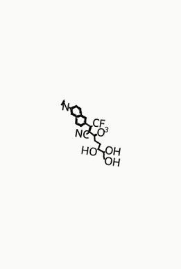 N#C/C(C(=O)CCC(O)C(O)CO)=C(\c1ccc2cc(N3CC3)ccc2c1)C(F)(F)F